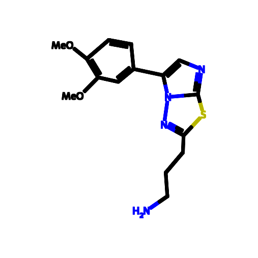 COc1ccc(-c2cnc3sc(CCCN)nn23)cc1OC